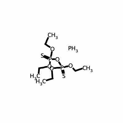 CCOP(=S)(OCC)OP(=S)(OCC)OCC.P